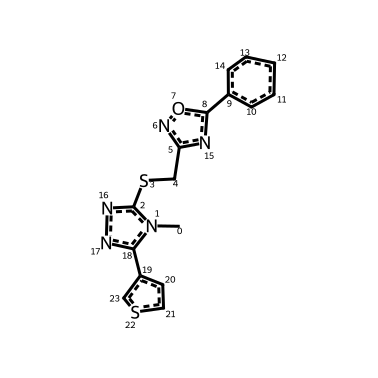 Cn1c(SCc2noc(-c3ccccc3)n2)nnc1-c1ccsc1